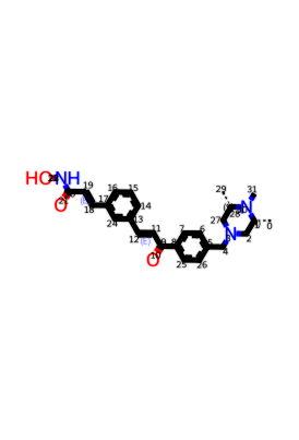 C[C@@H]1CN(Cc2ccc(C(=O)/C=C/c3cccc(/C=C/C(=O)NO)c3)cc2)C[C@H](C)N1C